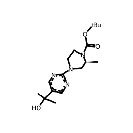 C[C@H]1CN(c2ncc(C(C)(C)O)cn2)CCN1C(=O)OC(C)(C)C